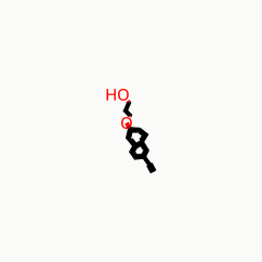 C#Cc1ccc2cc(OCCCO)ccc2c1